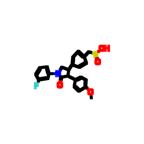 COc1ccc(C2C(=O)N(c3cccc(F)c3)CC2c2ccc(CS(=O)O)cc2)cc1